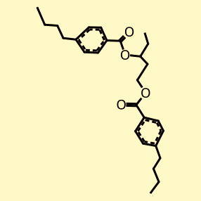 CCCCc1ccc(C(=O)OCCC(CC)OC(=O)c2ccc(CCCC)cc2)cc1